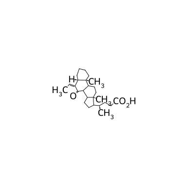 C/C=C1\C(=O)C2C3CCC([C@H](C)CCC(=O)O)C3(C)CCC2[C@@]2(C)CCCC[C@@H]12